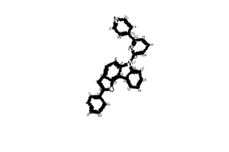 c1ccc(-c2cc3ccc4c(c5ccccc5n4-c4cccc(-c5ccncc5)n4)c3o2)cc1